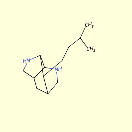 CC(C)CCC1C2CNC3C(CNC13)C2